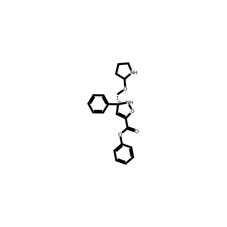 O=C(Oc1ccccc1)C1=C[C@@](COC2CCCN2)(c2ccccc2)NO1